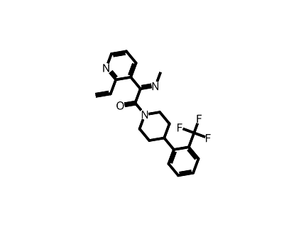 C=Cc1ncccc1/C(=N\C)C(=O)N1CCC(c2ccccc2C(F)(F)F)CC1